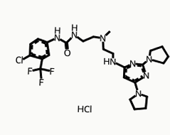 CN(CCNC(=O)Nc1ccc(Cl)c(C(F)(F)F)c1)CCNc1cc(N2CCCC2)nc(N2CCCC2)n1.Cl